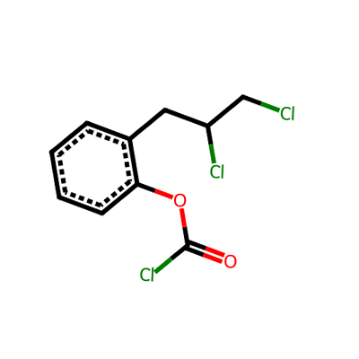 O=C(Cl)Oc1ccccc1CC(Cl)CCl